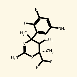 CC1[C@@](C)(C(F)F)SC(N)=N[C@]1(C)c1cc(N)cc(F)c1F